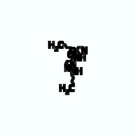 C=CCCCNc1nccc(C(=O)Nc2cnccc2OCCC=C)n1